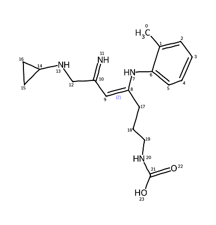 Cc1ccccc1N/C(=C\C(=N)CNC1CC1)CCCNC(=O)O